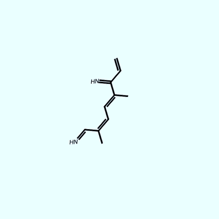 C=CC(=N)/C(C)=C/C=C(/C)C=N